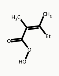 CCC(C)=C(C)C(=O)OO